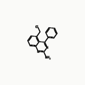 Nc1nc(-c2ccccc2)c2c(CCl)cccc2n1